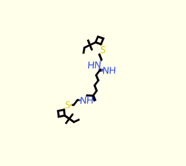 C=C(CCCCC(=N)NCCSC1CCC1C(C)(C)CC)CNCCSC1CCC1C(C)(C)CC